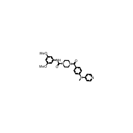 COc1cc(NC(=O)N2CCN(C(=O)c3ccc(N(C)c4ccncc4)cc3)CC2)cc(OC)c1